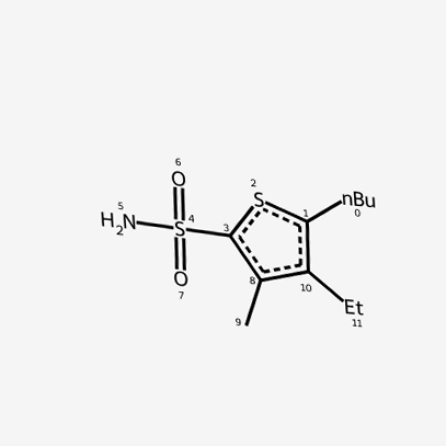 CCCCc1sc(S(N)(=O)=O)c(C)c1CC